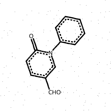 O=[C]c1ccc(=O)n(-c2ccccc2)c1